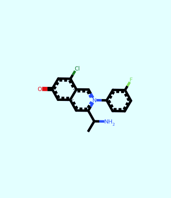 CC(N)c1cc2cc(=O)cc(Cl)c-2cn1-c1cccc(F)c1